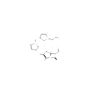 C[C@@H](O)[C@H]1C(=O)N2C(C(=O)O)=C(S[C@@H]3CCN(C[C@@H]4CCN(CCO)C4)C3)[C@H](C)[C@H]12